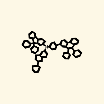 c1ccc(-c2ccc3cc(N(c4ccc(-c5ccc6c(c5)c(-c5ccccc5)c(-c5ccccc5)c5ccccc56)cc4)c4ccc5c(c4)C(c4ccccc4)(c4ccccc4)c4ccccc4-5)ccc3c2)cc1